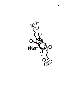 O=c1c2ccc(c(=O)n1CCCS(=O)(=O)[O-])c1c3ccc(c(=O)n(CCCS(=O)(=O)[O-])c3=O)c21.[Na+].[Na+]